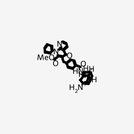 COC(=O)c1c(Cc2ccc(C(=O)N[C@@H]3[C@@H]4C[C@@H]5C[C@H]3C[C@](N)(C5)C4)cc2)c(=O)c2cccnc2n1-c1ccccc1